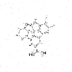 O=C1Nc2c(ccc(F)c2F)[C@]1(c1ccc(B(O)O)cc1)C1CCCCC1